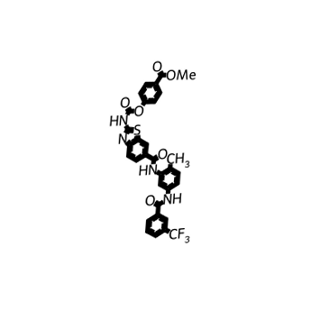 COC(=O)c1ccc(OC(=O)Nc2nc3ccc(C(=O)Nc4cc(NC(=O)c5cccc(C(F)(F)F)c5)ccc4C)cc3s2)cc1